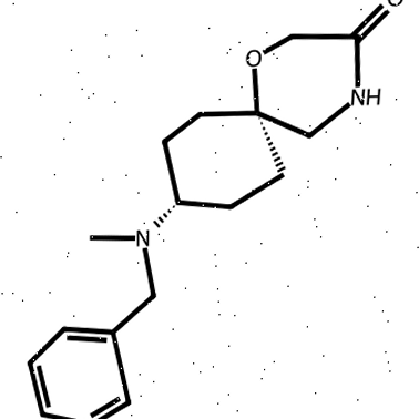 CN(Cc1ccccc1)[C@H]1CC[C@@]2(CC1)CNC(=O)CO2